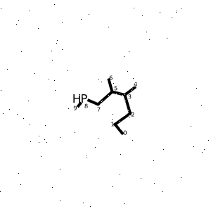 CCCC(C)C(C)CPC